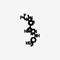 CCC1(O)CCC(Nc2ncc3c(-c4cnc5nc(C)n(CC(F)F)c5c4)c[nH]c3n2)CC1